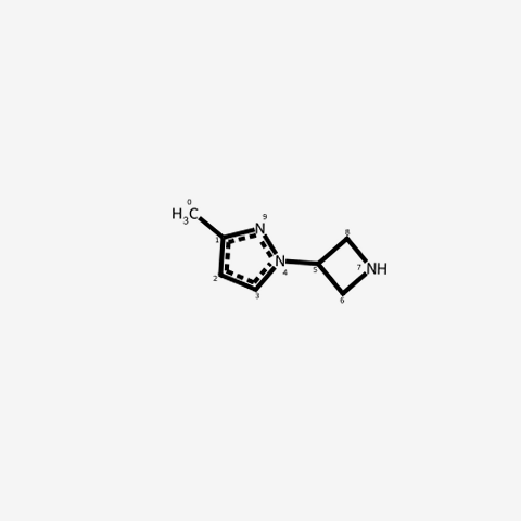 Cc1ccn(C2CNC2)n1